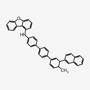 CC1C=CC(c2ccc(-c3ccc(Nc4cccc5oc6ccccc6c45)cc3)cc2)=CC1c1ccc2ccccc2c1